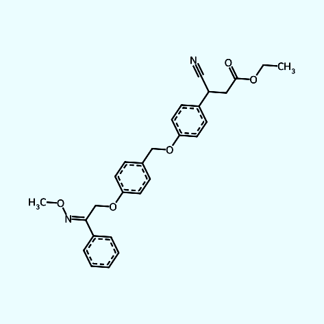 CCOC(=O)CC(C#N)c1ccc(OCc2ccc(OC/C(=N\OC)c3ccccc3)cc2)cc1